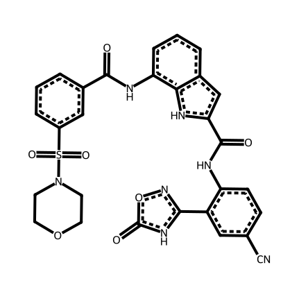 N#Cc1ccc(NC(=O)c2cc3cccc(NC(=O)c4cccc(S(=O)(=O)N5CCOCC5)c4)c3[nH]2)c(-c2noc(=O)[nH]2)c1